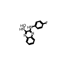 ONc1nc2ccccc2nc1Nc1ccc(F)cc1